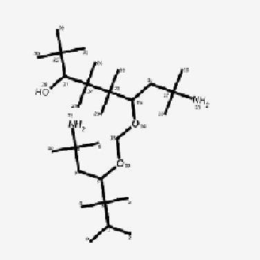 CC(C)C(C)(C)C(CC(C)(C)N)OCOC(CC(C)(C)N)C(C)(C)C(C)(C)C(O)C(C)(C)C